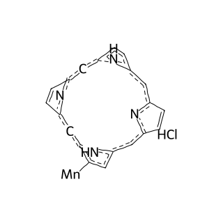 Cl.[Mn][c]1cc2cc3nc(cc4ccc(cc5nc(cc1[nH]2)C=C5)[nH]4)C=C3